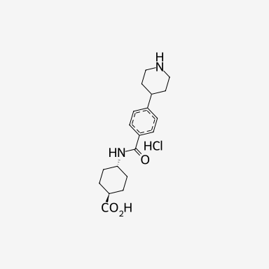 Cl.O=C(N[C@H]1CC[C@H](C(=O)O)CC1)c1ccc(C2CCNCC2)cc1